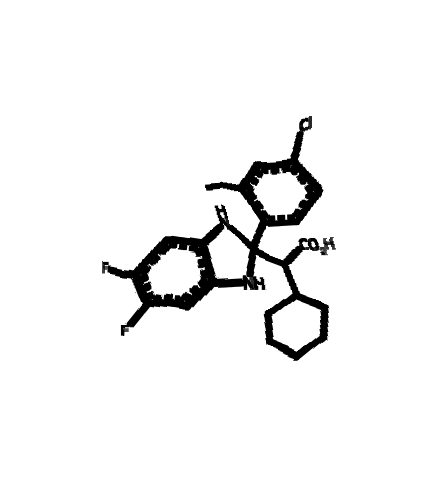 Cc1cc(Cl)ccc1C1(C(C(=O)O)C2CCCCC2)Nc2cc(F)c(F)cc2N1